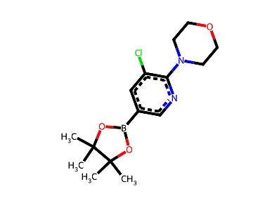 CC1(C)OB(c2cnc(N3CCOCC3)c(Cl)c2)OC1(C)C